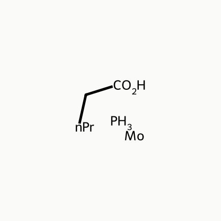 CCCCC(=O)O.P.[Mo]